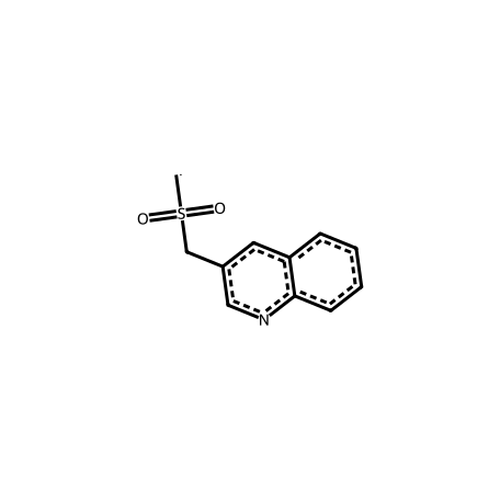 [CH2]S(=O)(=O)Cc1cnc2ccccc2c1